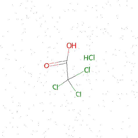 Cl.O=C(O)C(Cl)(Cl)Cl